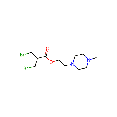 CN1CCN(CCOC(=O)C(CBr)CBr)CC1